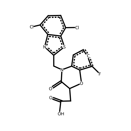 O=C(O)CC1Oc2c(F)cccc2N(Cc2nc3c(Cl)ccc(Cl)c3s2)C1=O